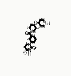 O=C1CCN(c2cccc(C(=O)N3CCC(OC4CCNCC4)CC3)c2)C(=O)N1